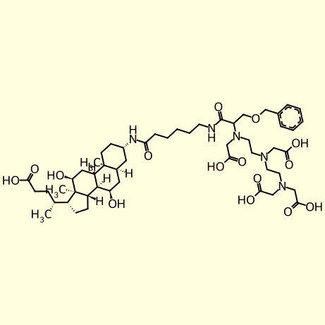 C[C@H](CCC(=O)O)[C@H]1CC[C@H]2[C@@H]3[C@H](O)C[C@@H]4C[C@@H](NC(=O)CCCCCNC(=O)C(COCc5ccccc5)N(CCN(CCN(CC(=O)O)CC(=O)O)CC(=O)O)CC(=O)O)CC[C@]4(C)[C@H]3C[C@H](O)[C@]12C